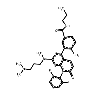 CCCNC(=O)c1ccc(C)c(-c2nc(N(C)CCCN(C)C)nc3c2ccc(=O)n3-c2c(F)cccc2F)c1